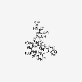 CCC[C@H](NC(=O)[C@@H]1C[C@]2(CC(c3ccc4c(c3)OCO4)=NO2)CN1C(=O)[C@@H](NC(=O)[C@@H](NC(=O)c1cnccn1)C(C)(C)C)C(C)(C)C)C(=O)C(=O)NC1CC1